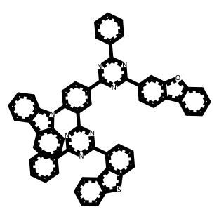 c1ccc(-c2nc(-c3ccc(-n4c5ccccc5c5ccccc54)c(-c4nc(-c5ccccc5)nc(-c5cccc6sc7ccccc7c56)n4)c3)nc(-c3ccc4c(c3)oc3ccccc34)n2)cc1